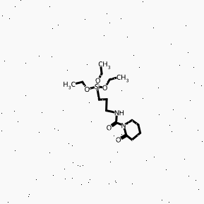 CCO[Si](CCCNC(=O)N1CCCCC1=O)(OCC)OCC